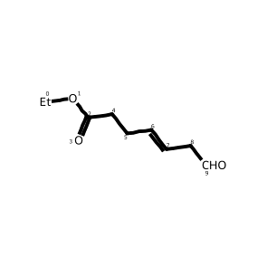 CCOC(=O)CCC=CCC=O